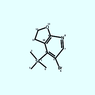 C[Si](C)(C)c1c(Br)cnc2c1CCO2